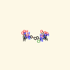 COC(=O)N[C@H](C(=O)N1[C@@H]2C[C@@H]2C[C@H]1c1nc(Cl)c(-c2ccc3cc(-c4ccc5[nH]c([C@@H]6C[C@H]7C[C@H]7N6C(=O)[C@H](C(C)C)N(C)C(=O)O)nc5c4)ccc3c2)[nH]1)C1CCOCC1